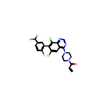 C=CC(=O)N1CCN(c2ncnc3c(F)c(-c4cc(C(F)F)ccc4F)c(Cl)cc23)CC1